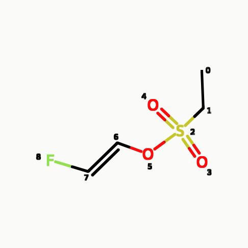 CCS(=O)(=O)OC=CF